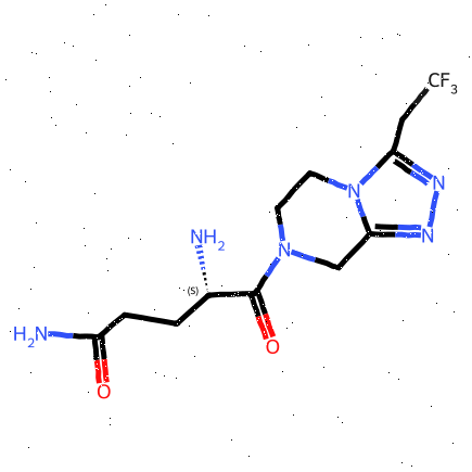 NC(=O)CC[C@H](N)C(=O)N1CCn2c(nnc2CC(F)(F)F)C1